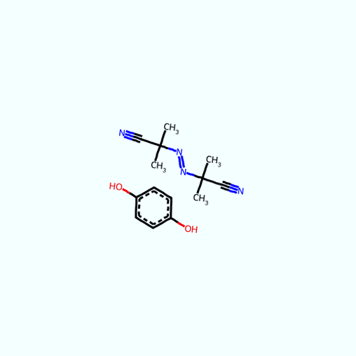 CC(C)(C#N)N=NC(C)(C)C#N.Oc1ccc(O)cc1